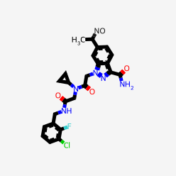 CC(N=O)c1ccc2c(C(N)=O)nn(CC(=O)N(CC(=O)NCc3cccc(Cl)c3F)C3CC3)c2c1